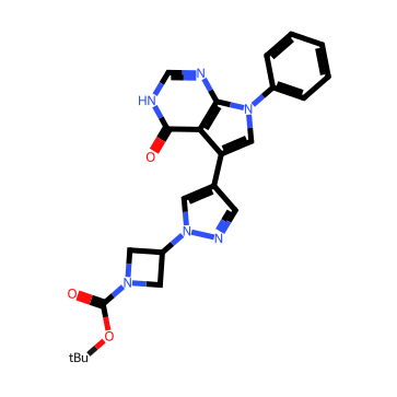 CC(C)(C)OC(=O)N1CC(n2cc(-c3cn(-c4ccccc4)c4nc[nH]c(=O)c34)cn2)C1